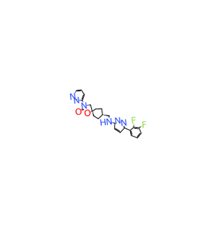 O=C1O[C@]2(CC[C@H](CNc3ccc(-c4cccc(F)c4F)nn3)CC2)CN1c1cccnn1